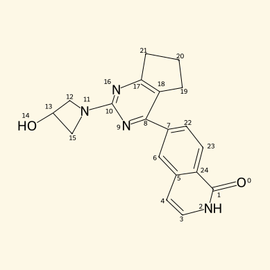 O=c1[nH]ccc2cc(-c3nc(N4CC(O)C4)nc4c3CCC4)ccc12